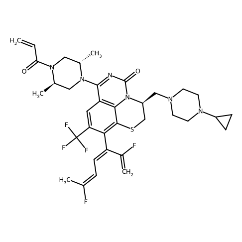 C=CC(=O)N1C[C@H](C)N(c2nc(=O)n3c4c(c(/C(=C/C=C(\C)F)C(=C)F)c(C(F)(F)F)cc24)SC[C@@H]3CN2CCN(C3CC3)CC2)C[C@H]1C